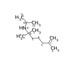 CC(C)CCCC(C)(C)NC(C)C